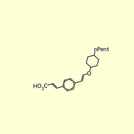 CCCCCC1CCC(OC=Cc2ccc(C=CC(=O)O)cc2)CC1